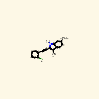 CCn1c(C#Cc2ccccc2Br)c(C#N)c2ccc(OC)cc21